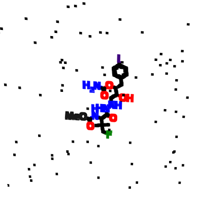 COC(=O)NC(C(=O)NNC[C@H](O)[C@H](Cc1ccc(I)cc1)OC(N)=O)C(C)(C)CF